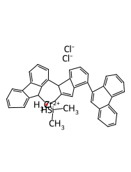 CCC1=Cc2c(-c3cc4ccccc4c4ccccc34)cccc2C1c1cccc2c1[CH]([Zr+2][SiH](C)C)c1ccccc1-2.[Cl-].[Cl-]